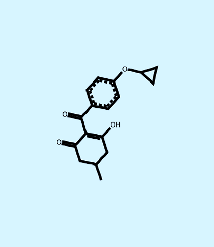 CC1CC(=O)C(C(=O)c2ccc(OC3CC3)cc2)=C(O)C1